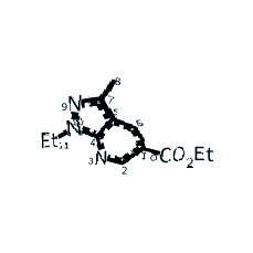 CCOC(=O)c1cnc2c(c1)c(C)nn2CC